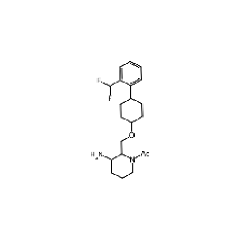 CC(=O)N1CCCC(N)C1COC1CCC(c2ccccc2C(F)F)CC1